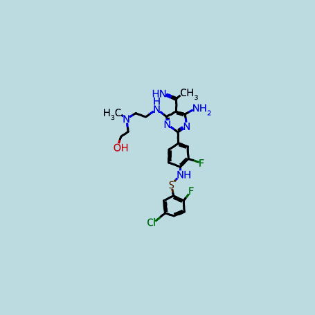 CC(=N)c1c(N)nc(-c2ccc(NSc3cc(Cl)ccc3F)c(F)c2)nc1NCCN(C)CCO